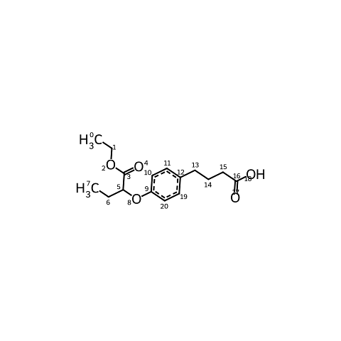 CCOC(=O)C(CC)Oc1ccc(CCCC(=O)O)cc1